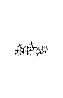 CC(C)N1C[C@H](F)[C@H](N)C1C(C)(C)CC1C[C@@](C)(N)C(C(C)(C)CC2[C@H]3C[C@@]3(N)C(C(C)(C)C)N2C(C)(C)C)N1C(C)(C)C